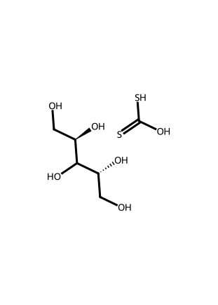 OC(=S)S.OC[C@@H](O)C(O)[C@H](O)CO